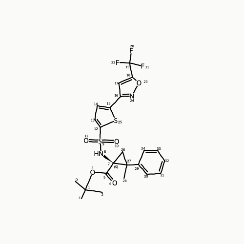 CC(C)(C)OC(=O)[C@]1(NS(=O)(=O)c2ccc(-c3cc(C(F)(F)F)on3)s2)CC1(C)c1ccccc1